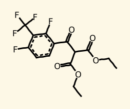 CCOC(=O)C(C(=O)OCC)C(=O)c1ccc(F)c(C(F)(F)F)c1F